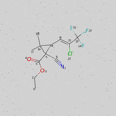 CCOC(=O)C1(C#N)C(C=C(Cl)C(F)(F)F)C1(C)C